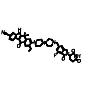 CCc1cc2c(cc1N1CCC(N3CCN(Cc4cc(F)c5c(c4)CN(C4CCC(=O)NC4=O)C5=O)CC3)CC1)C(C)(C)c1[nH]c3cc(C#N)ccc3c1C2=O